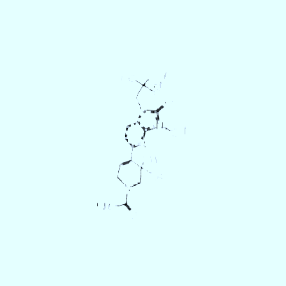 Cn1c(=O)n(CC(C)(C)C)c2ccc(C3=CCN(C(=O)O)CC3(C)C)nc21